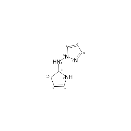 C1=CNC(Nn2cccn2)C1